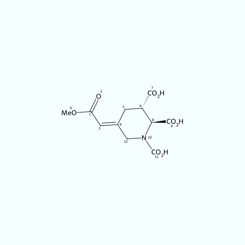 COC(=O)C=C1C[C@H](C(=O)O)[C@@H](C(=O)O)N(C(=O)O)C1